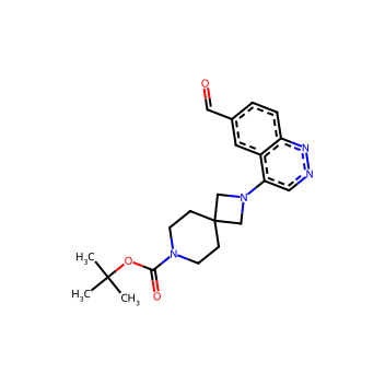 CC(C)(C)OC(=O)N1CCC2(CC1)CN(c1cnnc3ccc(C=O)cc13)C2